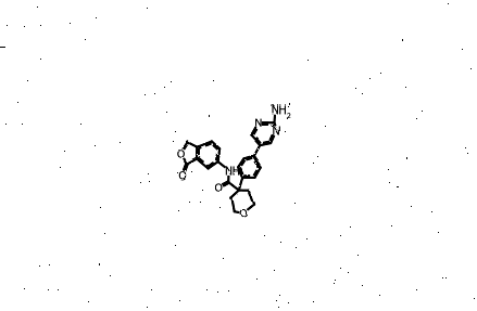 Nc1ncc(-c2ccc(C3(C(=O)Nc4ccc5c(c4)C(=O)OC5)CCOCC3)cc2)cn1